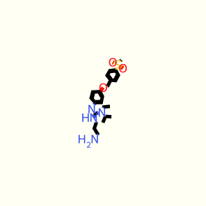 CCN(/C(=N\c1ccc(OCc2ccc(S(C)(=O)=O)cc2)cc1)NCCCN)C(C)C